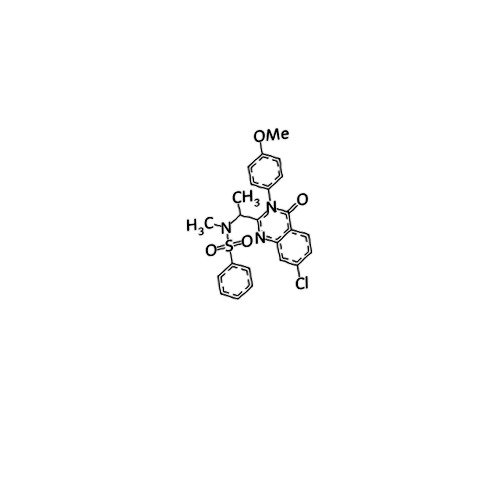 COc1ccc(-n2c(C(C)N(C)S(=O)(=O)c3ccccc3)nc3cc(Cl)ccc3c2=O)cc1